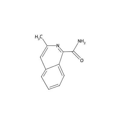 Cc1cc2ccccc2c(C(N)=O)n1